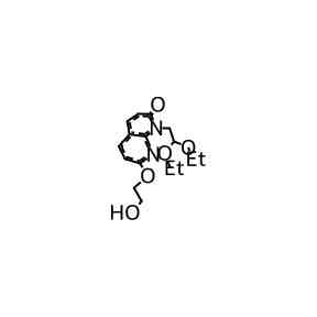 CCOC(Cn1c(=O)ccc2ccc(OCCO)nc21)OCC